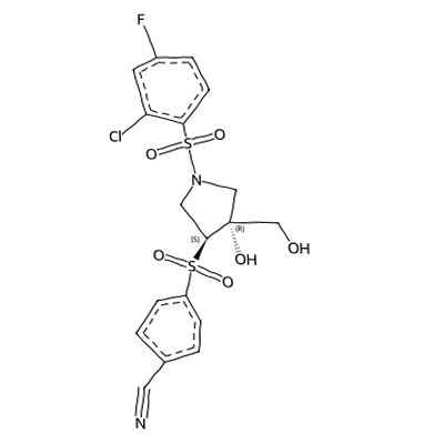 N#Cc1ccc(S(=O)(=O)[C@H]2CN(S(=O)(=O)c3ccc(F)cc3Cl)C[C@@]2(O)CO)cc1